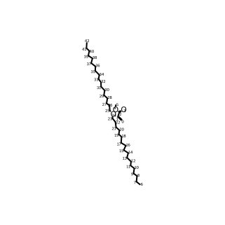 C=CC(=O)OC.CCCCCCCCCCCCCCCCCCOCCCCCCCCCCCCCCCCCC